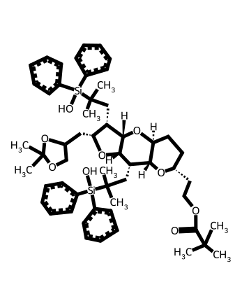 CC1(C)OCC(C[C@H]2O[C@H]3[C@@H](CC(C)(C)[Si](O)(c4ccccc4)c4ccccc4)[C@H]4O[C@@H](CCOC(=O)C(C)(C)C)CC[C@@H]4O[C@H]3[C@H]2CC(C)(C)[Si](O)(c2ccccc2)c2ccccc2)O1